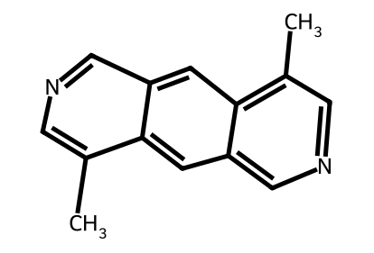 Cc1cncc2cc3c(C)cncc3cc12